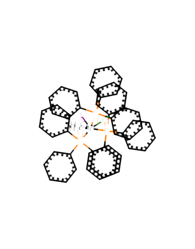 [CH3][Ir]([CH3])([Cl])([I])([PH](c1ccccc1)(c1ccccc1)c1ccccc1)([PH](c1ccccc1)(c1ccccc1)c1ccccc1)[PH](c1ccccc1)(c1ccccc1)c1ccccc1